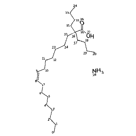 CCCCCCCC/C=C\CCCCCCC(CCCC)(CCCC)C(=O)O.N